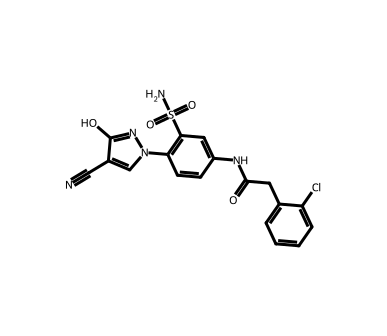 N#Cc1cn(-c2ccc(NC(=O)Cc3ccccc3Cl)cc2S(N)(=O)=O)nc1O